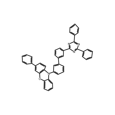 c1ccc(-c2ccc3c(c2)Oc2ccccc2N3c2cccc(-c3cccc(-c4nc(-c5ccccc5)nc(-c5ccccc5)n4)c3)c2)cc1